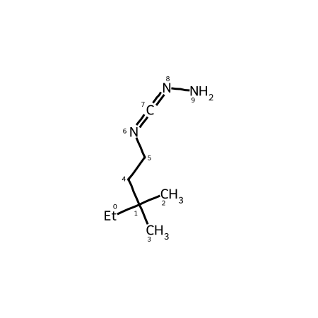 CCC(C)(C)CCN=C=NN